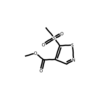 COC(=O)c1cnsc1S(C)(=O)=O